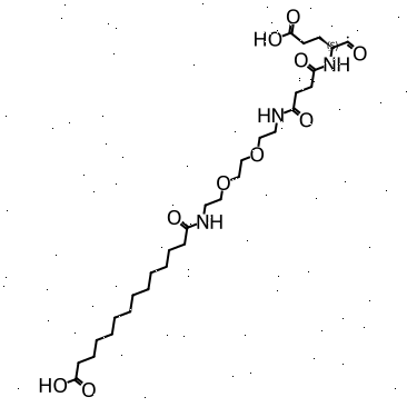 O=[C][C@H](CCC(=O)O)NC(=O)CCC(=O)NCCOCCOCCNC(=O)CCCCCCCCCCCCC(=O)O